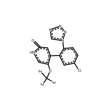 [2H]C([2H])([2H])Oc1c[nH]c(=O)cc1-c1cc(Cl)ccc1-n1cnnn1